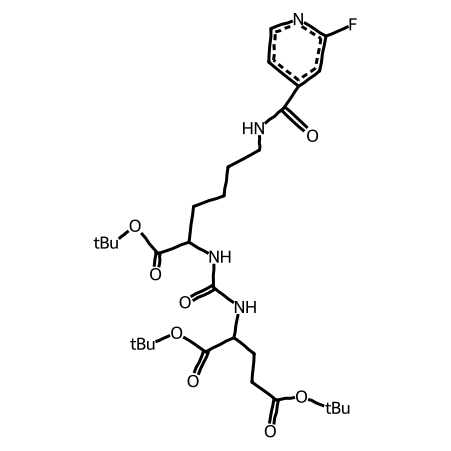 CC(C)(C)OC(=O)CCC(NC(=O)NC(CCCCNC(=O)c1ccnc(F)c1)C(=O)OC(C)(C)C)C(=O)OC(C)(C)C